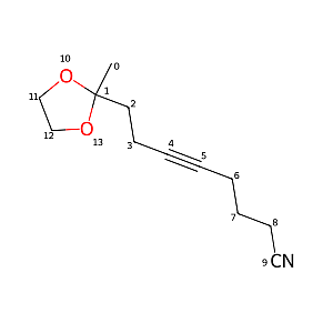 CC1(CCC#CCCCC#N)OCCO1